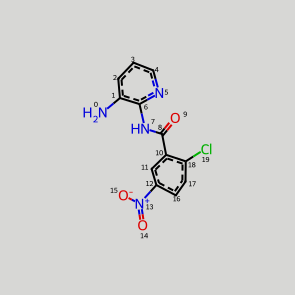 Nc1cccnc1NC(=O)c1cc([N+](=O)[O-])ccc1Cl